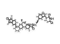 Cc1cc(-c2cc3c(cc2C(F)F)N(c2ccc4c(c2)n(C)c(=O)n4C)CCC3)cnc1C(=O)NCC#Cc1ccc2occ(C3CCC(=O)NC3=O)c2c1